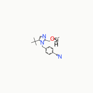 C[SiH](C)OCc1ncc(C(C)(C)C)n1Cc1ccc(C#N)cc1